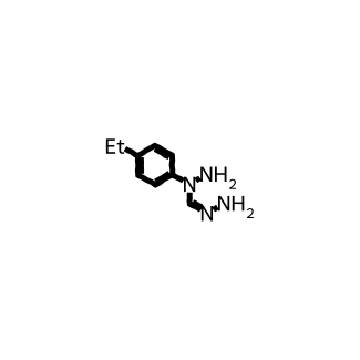 CCc1ccc(N(N)/C=N\N)cc1